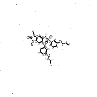 C=CCOc1cccc(S(=O)(=O)Nc2cc3c(cc2Oc2cccc(OCCC)c2)n(C)c(=O)n3C)c1